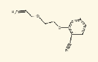 C=CCOCCOc1cnccc1C#N